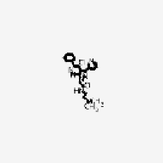 CN(C)CCNC(=O)Cn1nc(-c2cccnc2)c2c(Cl)c(-c3ccccc3)nnc21